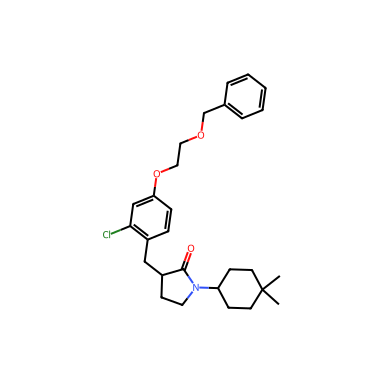 CC1(C)CCC(N2CCC(Cc3ccc(OCCOCc4ccccc4)cc3Cl)C2=O)CC1